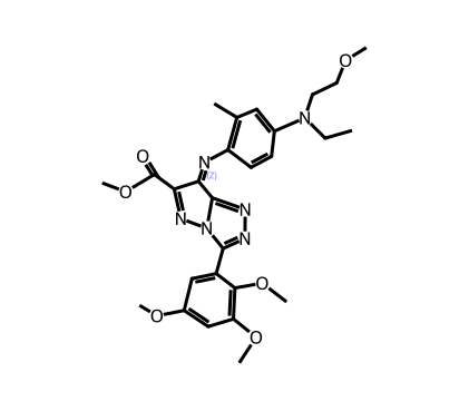 CCN(CCOC)c1ccc(/N=C2/C(C(=O)OC)=Nn3c2nnc3-c2cc(OC)cc(OC)c2OC)c(C)c1